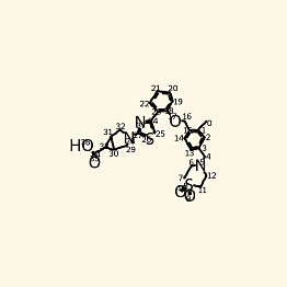 Cc1cc(CN2CCS(=O)(=O)CC2)ccc1COc1ccccc1-c1csc(N2CC3C(C2)C3C(=O)O)n1